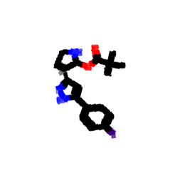 CC(C)(C)C(=O)OC1NCC[C@H]1c1cc(-c2ccc(I)cc2)[nH]n1